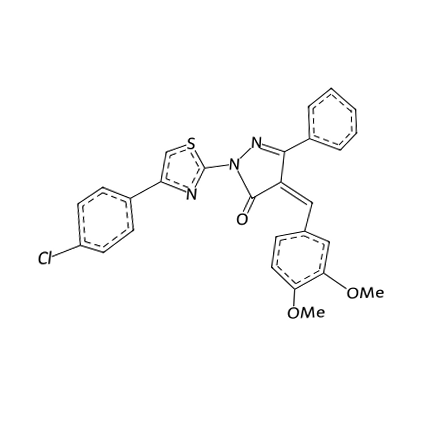 COc1ccc(/C=C2\C(=O)N(c3nc(-c4ccc(Cl)cc4)cs3)N=C2c2ccccc2)cc1OC